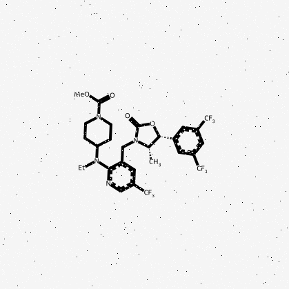 CCN(c1ncc(C(F)(F)F)cc1CN1C(=O)O[C@H](c2cc(C(F)(F)F)cc(C(F)(F)F)c2)[C@@H]1C)C1CCN(C(=O)OC)CC1